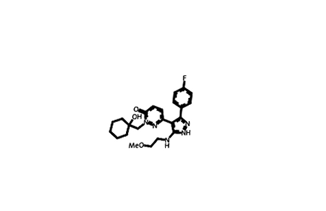 COCCNc1[nH]nc(-c2ccc(F)cc2)c1-c1ccc(=O)n(CC2(O)CCCCC2)n1